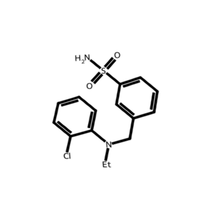 CCN(Cc1cccc(S(N)(=O)=O)c1)c1ccccc1Cl